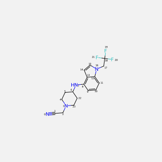 N#CCN1CCC(Nc2cccc3c2ccn3CC(F)(F)F)CC1